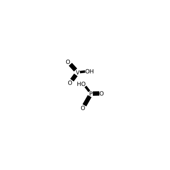 O=P(=O)O.[O]=[V](=[O])[OH]